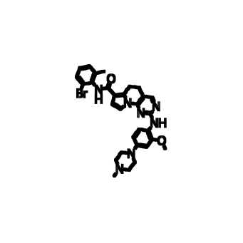 COc1cc(N2CCN(C)CC2)ccc1Nc1ncc2c(n1)-n1ccc(C(=O)Nc3c(C)cccc3Br)c1CC2